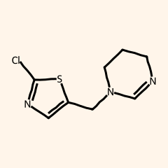 Clc1ncc(CN2C=NCCC2)s1